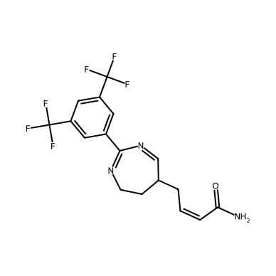 NC(=O)/C=C\CC1C=NC(c2cc(C(F)(F)F)cc(C(F)(F)F)c2)=NCC1